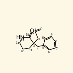 C=CCC1(Cc2ccccc2)CCCNC1=O